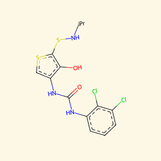 CC(C)NSc1scc(NC(=O)Nc2cccc(Cl)c2Cl)c1O